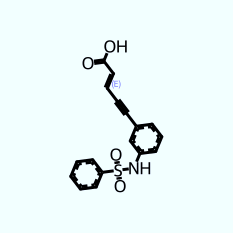 O=C(O)/C=C/C#Cc1cccc(NS(=O)(=O)c2ccccc2)c1